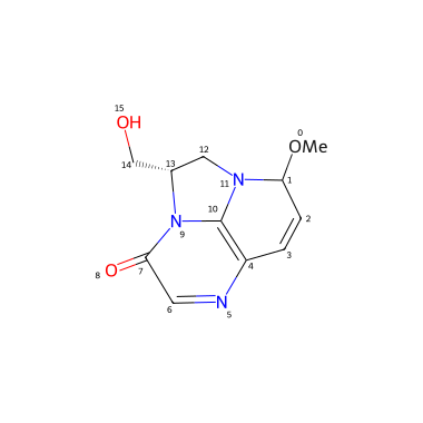 COC1C=Cc2ncc(=O)n3c2N1C[C@H]3CO